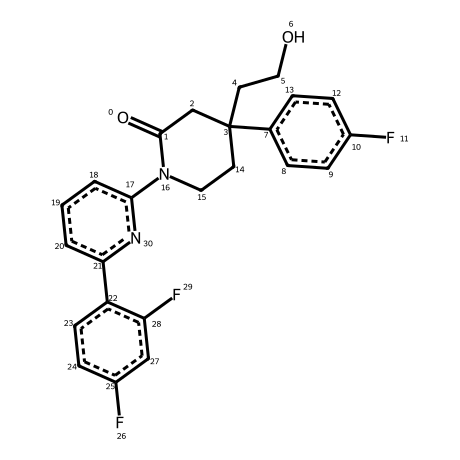 O=C1CC(CCO)(c2ccc(F)cc2)CCN1c1cccc(-c2ccc(F)cc2F)n1